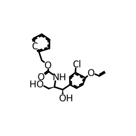 C=COc1ccc([C@@H](O)[C@@H](CO)NC(=O)OCc2ccccc2)cc1Cl